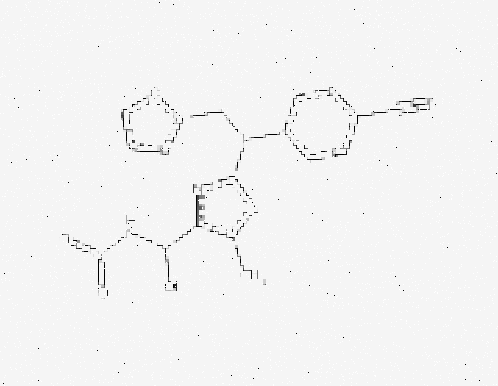 Cc1sc(N(Cc2ccco2)c2ccc(C#N)cc2)nc1C(O)N[SH](=O)=O